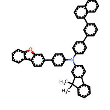 CC1(C)c2ccccc2-c2ccc(N(c3ccc(-c4cccc(-c5cccc6ccccc56)c4)cc3)c3ccc(-c4ccc5c(c4)oc4ccccc45)cc3)cc21